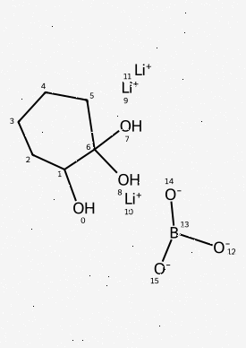 OC1CCCCC1(O)O.[Li+].[Li+].[Li+].[O-]B([O-])[O-]